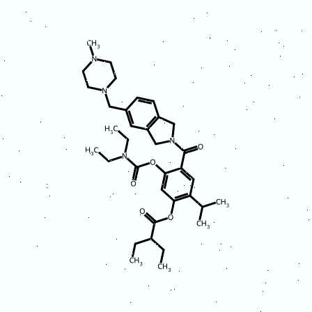 CCC(CC)C(=O)Oc1cc(OC(=O)N(CC)CC)c(C(=O)N2Cc3ccc(CN4CCN(C)CC4)cc3C2)cc1C(C)C